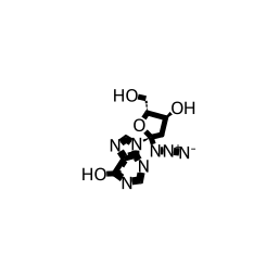 [N-]=[N+]=N[C@]1(n2cnc3c(O)ncnc32)C[C@H](O)[C@@H](CO)O1